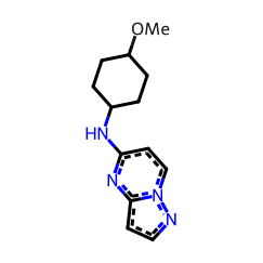 COC1CCC(Nc2ccn3nccc3n2)CC1